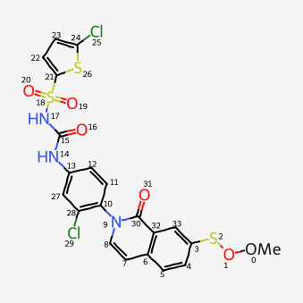 COOSc1ccc2ccn(-c3ccc(NC(=O)NS(=O)(=O)c4ccc(Cl)s4)cc3Cl)c(=O)c2c1